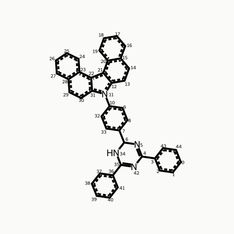 c1ccc(C2=NC(c3ccc(-n4c5ccc6ccccc6c5c5c6ccccc6ccc54)cc3)NC(c3ccccc3)=N2)cc1